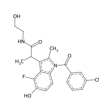 Cc1c(C(C)C(=O)NCCO)c2c(F)c(O)ccc2n1C(=O)c1cccc(Cl)c1